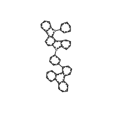 c1ccc(-n2c3ccccc3c3ccc4c(c5ccccc5n4-c4cccc(-c5cccc6c7ccccc7c7ccccc7c56)c4)c32)cc1